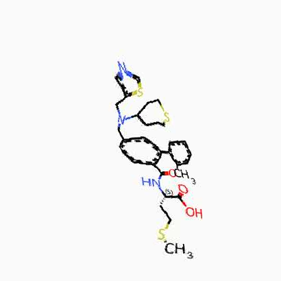 CSCC[C@H](NC(=O)c1ccc(CN(Cc2cncs2)C2CCSCC2)cc1-c1ccccc1C)C(=O)O